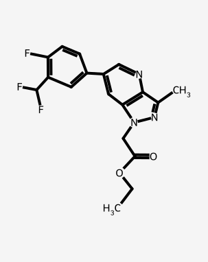 CCOC(=O)Cn1nc(C)c2ncc(-c3ccc(F)c(C(F)F)c3)cc21